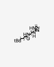 CC(C)(C)CCCC(=O)NCCNC1=NCCN1